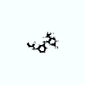 C=CC(=O)NC1=CC(Nc2nc(Cl)ncc2C(F)(F)F)=CCC1